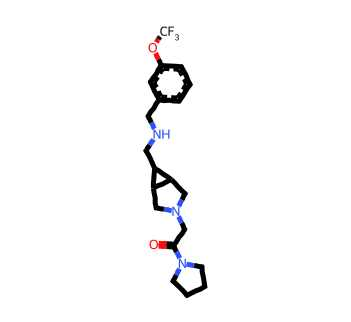 O=C(CN1CC2C(CNCc3cccc(OC(F)(F)F)c3)C2C1)N1CCCC1